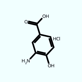 Cl.Nc1cc(C(=O)O)ccc1O